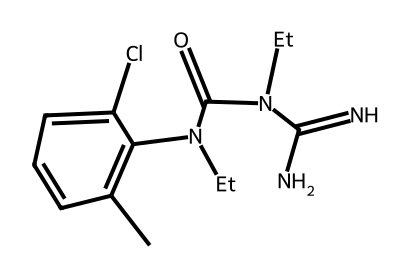 CCN(C(=N)N)C(=O)N(CC)c1c(C)cccc1Cl